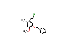 COc1cc(C)c(C=CBr)cc1OCc1ccccc1